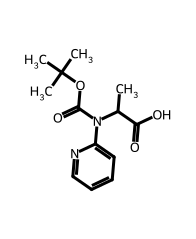 CC(C(=O)O)N(C(=O)OC(C)(C)C)c1ccccn1